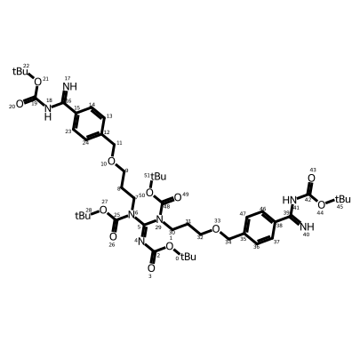 CC(C)(C)OC(=O)N=C(N(CCCOCc1ccc(C(=N)NC(=O)OC(C)(C)C)cc1)C(=O)OC(C)(C)C)N(CCCOCc1ccc(C(=N)NC(=O)OC(C)(C)C)cc1)C(=O)OC(C)(C)C